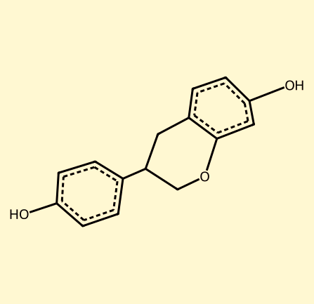 Oc1ccc(C2COc3cc(O)ccc3C2)cc1